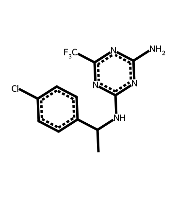 CC(Nc1nc(N)nc(C(F)(F)F)n1)c1ccc(Cl)cc1